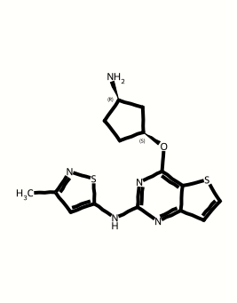 Cc1cc(Nc2nc(O[C@H]3CC[C@@H](N)C3)c3sccc3n2)sn1